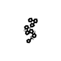 c1ccc(-c2nc3c(ccc4oc5cc(N(c6ccc(-c7ccccc7-c7ccccc7)cc6)c6cccc7oc8ccccc8c67)ccc5c43)s2)cc1